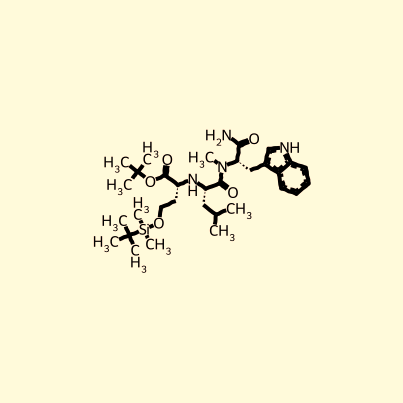 CC(C)C[C@H](N[C@H](CCO[Si](C)(C)C(C)(C)C)C(=O)OC(C)(C)C)C(=O)N(C)[C@@H](Cc1c[nH]c2ccccc12)C(N)=O